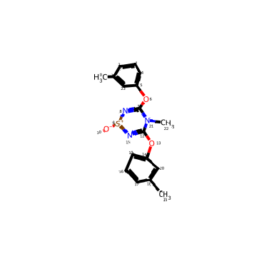 Cc1cccc(OC2=N[S+]([O-])N=C(Oc3cccc(C)c3)N2C)c1